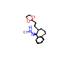 CCNN=C1c2ccccc2CCCC1CCC1OCCO1